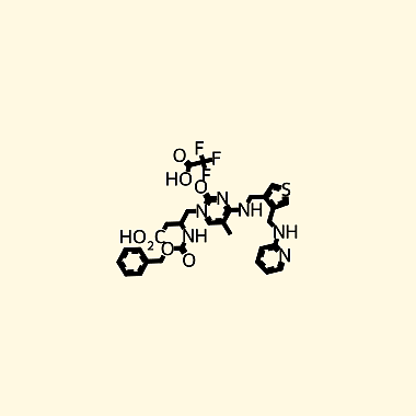 Cc1cn(CC(CC(=O)O)NC(=O)OCc2ccccc2)c(=O)nc1NCc1cscc1CNc1ccccn1.O=C(O)C(F)(F)F